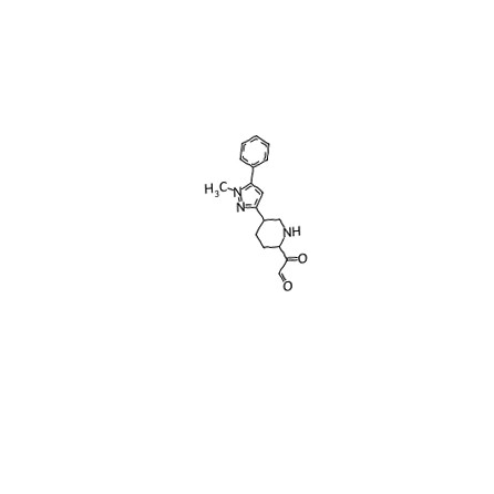 Cn1nc(C2CCC(C(=O)C=O)NC2)cc1-c1ccccc1